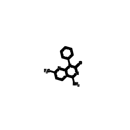 Nc1nc(=O)n(-c2ccccc2)c2nc(C(F)(F)F)ccc12